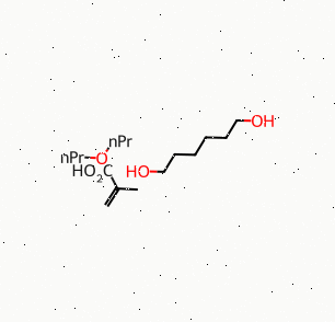 C=C(C)C(=O)O.CCCOCCC.OCCCCCCO